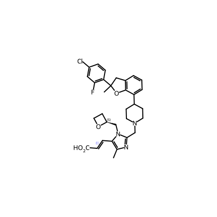 Cc1nc(CN2CCC(c3cccc4c3OC(C)(c3ccc(Cl)cc3F)C4)CC2)n(C[C@@H]2CCO2)c1/C=C/C(=O)O